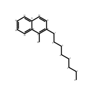 CCCCCCCCc1ccc2ccccc2c1C